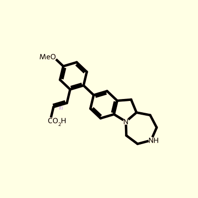 COc1ccc(-c2ccc3c(c2)CC2CCNCCN32)c(/C=C/C(=O)O)c1